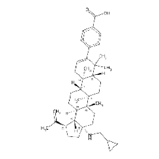 C=C(C)[C@@H]1CC[C@]2(NCC3CC3)CC[C@]3(C)[C@H](CC[C@@H]4[C@@]5(C)CC=C(c6ccc(C(=O)O)cc6)C(C)(C)[C@@H]5CC[C@]43C)[C@@H]12